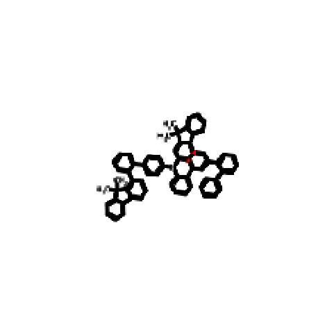 CC1(C)c2ccccc2-c2ccc(N(c3ccc(-c4ccccc4-c4cccc5c4C(C)(C)c4ccccc4-5)cc3)c3ccccc3-c3cccc(-c4ccccc4-c4ccccc4)c3)cc21